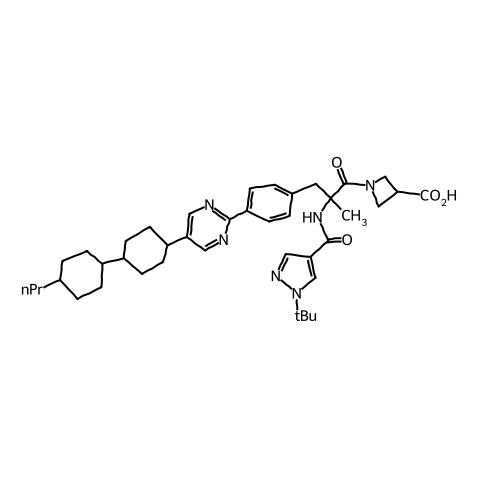 CCCC1CCC(C2CCC(c3cnc(-c4ccc(CC(C)(NC(=O)c5cnn(C(C)(C)C)c5)C(=O)N5CC(C(=O)O)C5)cc4)nc3)CC2)CC1